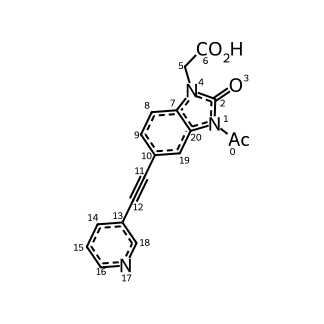 CC(=O)n1c(=O)n(CC(=O)O)c2ccc(C#Cc3cccnc3)cc21